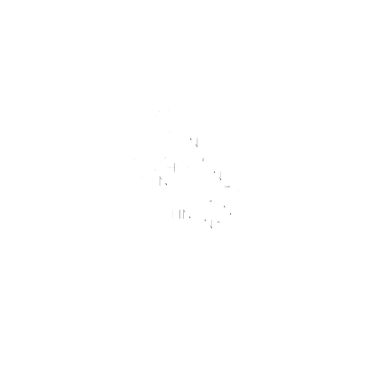 CC(C)Oc1nc(NC2CCN(C(=O)OC(C)(C)C)CC2)cc(C(=O)N2CC[C@@H](N3CCc4ccccc4C3)[C@H](O)C2)n1